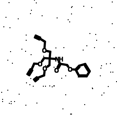 C#CCOCC(COCC#C)(COCC#C)NC(=O)COc1ccccc1